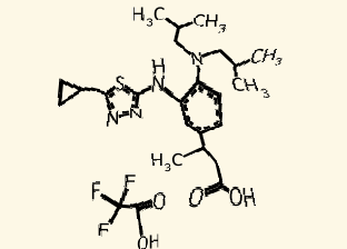 CC(C)CN(CC(C)C)c1ccc(C(C)CC(=O)O)cc1Nc1nnc(C2CC2)s1.O=C(O)C(F)(F)F